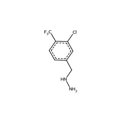 NNCc1ccc(C(F)(F)F)c(Cl)c1